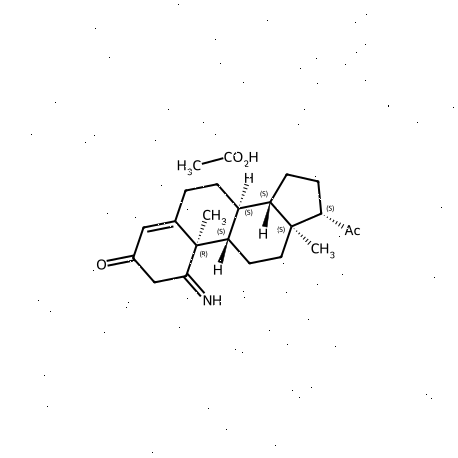 CC(=O)O.CC(=O)[C@H]1CC[C@H]2[C@@H]3CCC4=CC(=O)CC(=N)[C@]4(C)[C@H]3CC[C@]12C